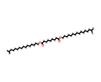 CC(C)CCCCCCCCCCCCCCOC(=O)CCCCCCCC(=O)OCCCCCCCCCCCCCCC(C)C